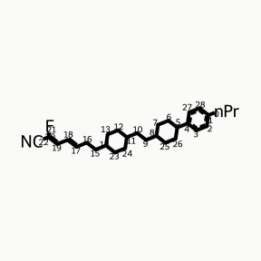 CCCc1ccc(C2CCC(CCC3CCC(CCC=CC=C(F)C#N)CC3)CC2)cc1